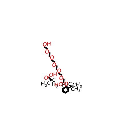 C=C(C)C(=O)O.CC(C)(C)c1ccccc1OC(O)COCCOCCOCCOCCOCCO